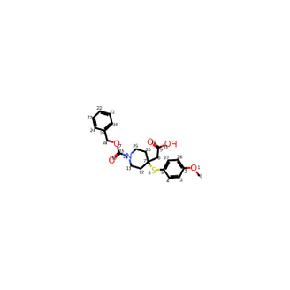 COc1ccc(SC2(CC(=O)O)CCN(C(=O)OCc3ccccc3)CC2)cc1